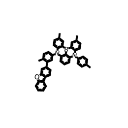 Cc1ccc(N2c3ccc(C)cc3B3c4cc(C)ccc4N(c4ccc(C)c(-c5ccc6c(c5)oc5ccccc56)c4)c4cccc2c43)cc1